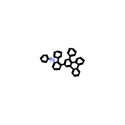 c1ccc(-c2cc(-c3cccc4c3c3ccccc3n4-c3ccccc3)cc3c4ccccc4c4ccccc4c23)cc1